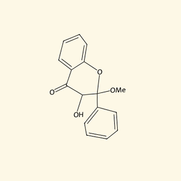 COC1(c2ccccc2)Oc2ccccc2C(=O)C1O